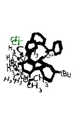 CC(C)(C)c1ccc2c(c1)=[C]([Zr+2]=[C](c1ccccc1)c1ccccc1)C1=C(C3=CC=CC3)C(C(C)(C)C)([Si](C)(C)C)C([Si](C)(C)C)=C([Si](C)(C)C)C=21.[Cl-].[Cl-]